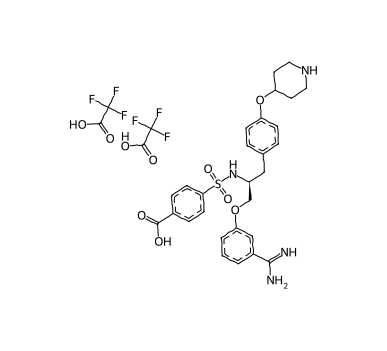 N=C(N)c1cccc(OC[C@H](Cc2ccc(OC3CCNCC3)cc2)NS(=O)(=O)c2ccc(C(=O)O)cc2)c1.O=C(O)C(F)(F)F.O=C(O)C(F)(F)F